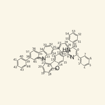 C1=C(c2ccccc2)N=C(c2ccc3c(c2)oc2cccc(-n4c5cc(-c6ccccc6)ccc5c5ccc(-c6ccccc6)cc54)c23)NC1c1ccccc1